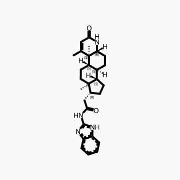 CC1=CC(=O)N[C@@H]2CC[C@H]3[C@@H]4CC[C@H](CC(=O)Nc5nc6ccccc6[nH]5)[C@@]4(C)CC[C@@H]3[C@@]12C